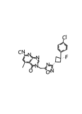 Cc1cc(C#N)nc2ncn(Cc3nc([C@H]4C[C@](F)(c5ccc(Cl)cc5)C4)no3)c(=O)c12